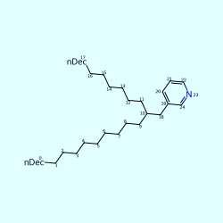 CCCCCCCCCCCCCCCCCCCC(CCCCCCCCCCCCCCCC)Cc1cccnc1